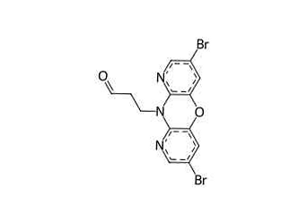 O=CCCN1c2ncc(Br)cc2Oc2cc(Br)cnc21